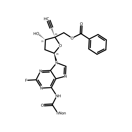 C#C[C@]1(COC(=O)c2ccccc2)O[C@@H](n2cnc3c(NC(=O)CCCCCCCCC)nc(F)nc32)C[C@@H]1O